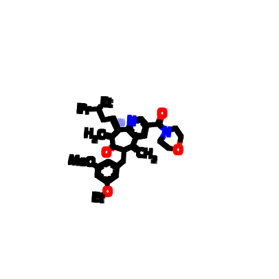 C=C1C(=O)C(Cc2cc(OC)cc(OCC)c2)C(=C)c2cc(C(=O)N3CCOCC3)cnc2/C1=C/CC(CC)C(C)C